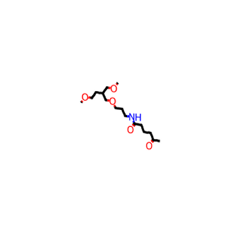 COCCC(COC)COCCCNC(=O)CCCC(C)=O